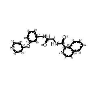 O=C(CNC(=O)c1nccc2ccccc12)Nc1cccc(Oc2ccncc2)c1